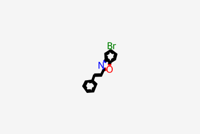 Brc1ccc2oc(C=Cc3ccccc3)nc2c1